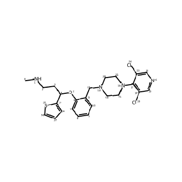 CNCCC(Oc1ccccc1CN1CCN(c2c(Cl)cncc2Cl)CC1)c1cccs1